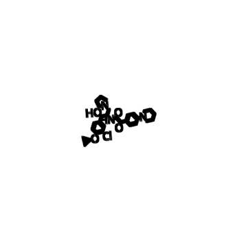 O=C(NC(CN1CCCC1)C(O)c1ccc(OC2CC2)c(Cl)c1)C(=O)c1ccc(N2CCCCC2)cc1